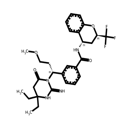 CCC1(CC)CC(=O)N([C@H](CCOC)c2cccc(C(=O)N[C@H]3C[C@H](C(F)(F)F)Oc4ccccc43)c2)C(=N)N1